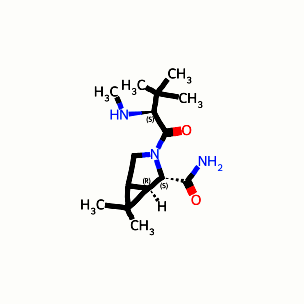 CN[C@H](C(=O)N1CC2[C@@H]([C@H]1C(N)=O)C2(C)C)C(C)(C)C